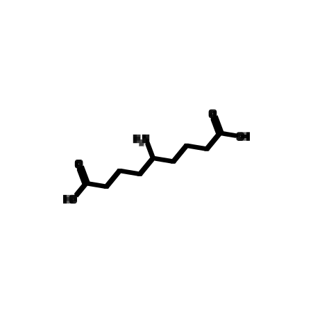 NC(CCCC(=O)O)CCCC(=O)O